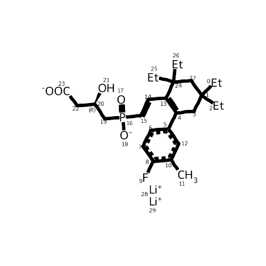 CCC1(CC)CC(c2ccc(F)c(C)c2)=C(C=CP(=O)([O-])C[C@H](O)CC(=O)[O-])C(CC)(CC)C1.[Li+].[Li+]